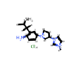 CC([SiH3])C(C)(C)c1cc(N2CCC(n3cc[n+](C)c3)C2)ccc1N.[Cl-]